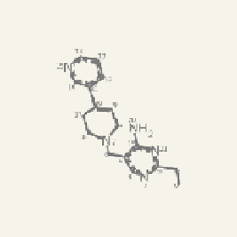 CCc1ncc(CN2CC=C(c3cccnc3)CC2)c(N)n1